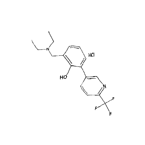 CCN(CC)Cc1cccc(-c2ccc(C(F)(F)F)nc2)c1O.Cl